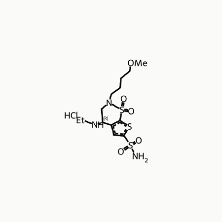 CCN[C@H]1CN(CCCCOC)S(=O)(=O)c2sc(S(N)(=O)=O)cc21.Cl